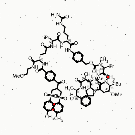 CC[C@H](C)[C@@H]([C@@H](CC(=O)N1CCC[C@H]1[C@H](OC)[C@@H](C)C(=O)N[C@H](C)[C@@H](O)c1ccccc1)OC)N(C)C(=O)[C@@H](NC(=O)[C@H](C(C)C)N(C)C(=O)OCc1ccc(NC(=O)[C@H](CCCNC(N)=O)NC(=O)[C@@H](NC(=O)CC[C@H](NC(=O)c2ccc(C(=O)C(CS(=O)(=O)c3ccc(C)cc3)CS(=O)(=O)c3ccc(C)cc3)cc2)C(=O)NCCOC)C(C)C)cc1)C(C)C